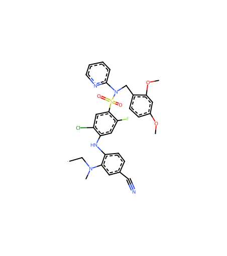 [CH2]CN(C)c1cc(C#N)ccc1Nc1cc(F)c(S(=O)(=O)N(Cc2ccc(OC)cc2OC)c2ccccn2)cc1Cl